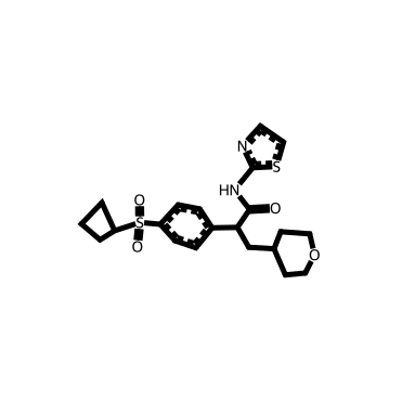 O=C(Nc1nccs1)C(CC1CCOCC1)c1ccc(S(=O)(=O)C2CCC2)cc1